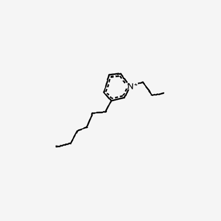 CCCCCCc1ccc[n+](CCC)c1